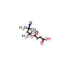 CC(C)(C#N)CC(C)(C)OC(=O)CCC(=O)O